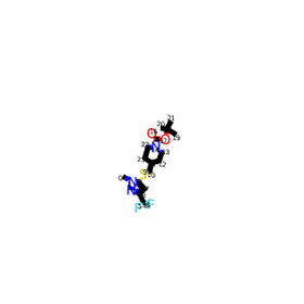 Cn1nc(C(F)F)cc1SCC1CCN(C(=O)OC(C)(C)C)CC1